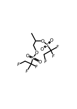 CC(COS(=O)(=O)C(F)(F)CF)OS(=O)(=O)C(F)(F)CF